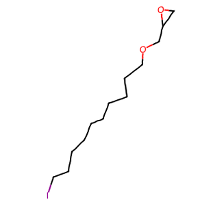 ICCCCCCCCCCOCC1CO1